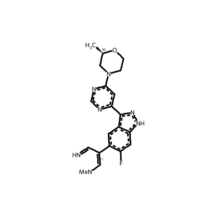 CN/C=C(\C=N)c1cc2c(-c3cc(N4CCO[C@H](C)C4)ncn3)n[nH]c2cc1F